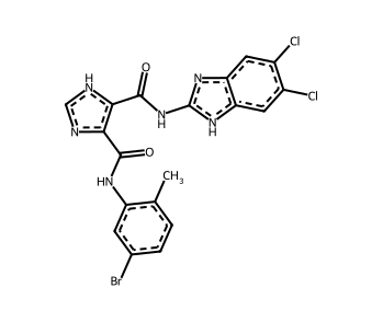 Cc1ccc(Br)cc1NC(=O)c1nc[nH]c1C(=O)Nc1nc2cc(Cl)c(Cl)cc2[nH]1